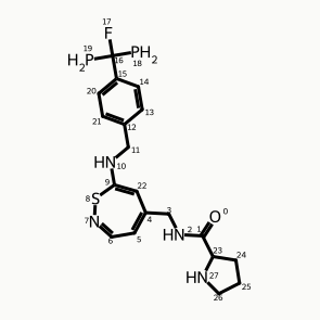 O=C(NCC1=CC=NSC(NCc2ccc(C(F)(P)P)cc2)=C1)C1CCCN1